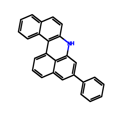 c1ccc(-c2cc3c4c(cccc4c2)-c2c(ccc4ccccc24)N3)cc1